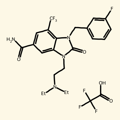 CCN(CC)CCn1c(=O)n(Cc2cccc(F)c2)c2c(C(F)(F)F)cc(C(N)=O)cc21.O=C(O)C(F)(F)F